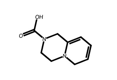 O=C(O)N1CCN2CC=CC=C2C1